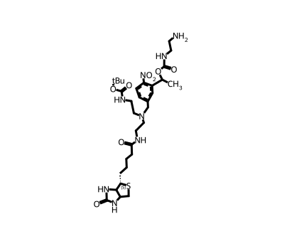 CC(OC(=O)NCCN)c1cc(CN(CCNC(=O)CCCC[C@@H]2SCC3NC(=O)NC32)CCNC(=O)OC(C)(C)C)ccc1[N+](=O)[O-]